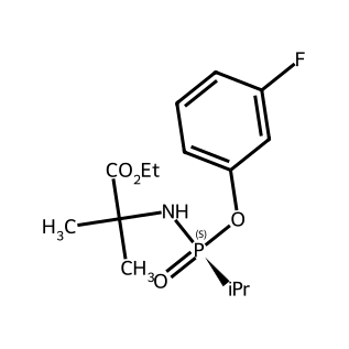 CCOC(=O)C(C)(C)N[P@@](=O)(Oc1cccc(F)c1)C(C)C